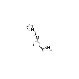 C=C/C(=C\C=C(/N)I)O/C=C/N1CCCC1